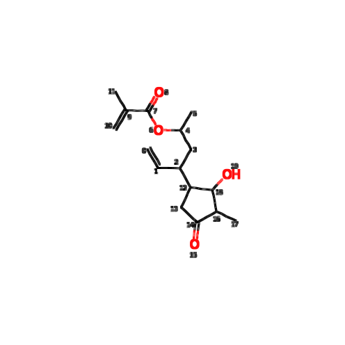 C=CC(CC(C)OC(=O)C(=C)C)C1CC(=O)C(C)C1O